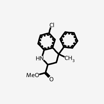 COC(=O)C1CC(C)(c2ccccc2)c2cc(Cl)ccc2N1